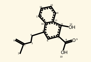 C=C(C)CCc1cc(C(=O)O)c(O)c2ccccc12